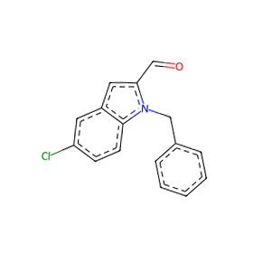 O=Cc1cc2cc(Cl)ccc2n1Cc1ccccc1